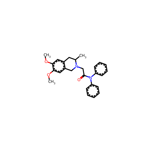 COc1cc2c(cc1OC)CN(CC(=O)N(c1ccccc1)c1ccccc1)C(C)C2